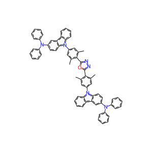 Cc1cc(-n2c3ccccc3c3cc(N(c4ccccc4)c4ccccc4)ccc32)cc(C)c1-c1nnc(-c2c(C)cc(-n3c4ccccc4c4cc(N(c5ccccc5)c5ccccc5)ccc43)cc2C)o1